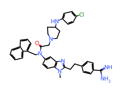 Cn1c(CCc2ccc(C(=N)N)cc2)nc2cc(N(Cc3cccc4ccccc34)C(=O)CN3CCC(Nc4ccc(Cl)cc4)CC3)ccc21